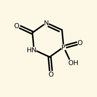 O=C1N=CP(=O)(O)C(=O)N1